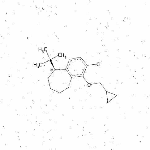 CC(C)(C)[C@@H]1CCCCc2c1ccc(Cl)c2OCC1CC1